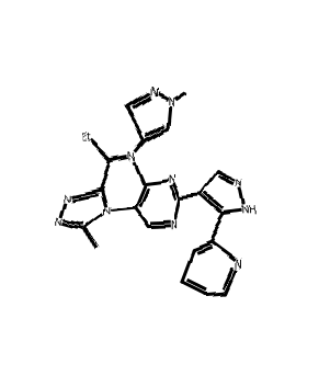 CCC1c2nnc(C)n2-c2cnc(-c3cn[nH]c3-c3ccccn3)nc2N1c1cnn(C)c1